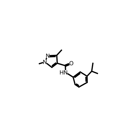 Cc1nn(C)cc1C(=O)Nc1cccc(C(C)C)c1